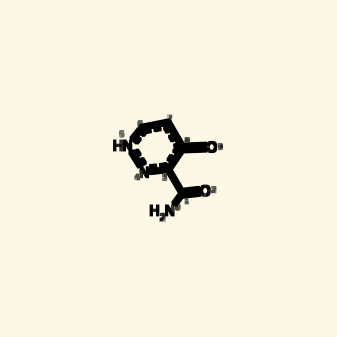 NC(=O)c1n[nH]ccc1=O